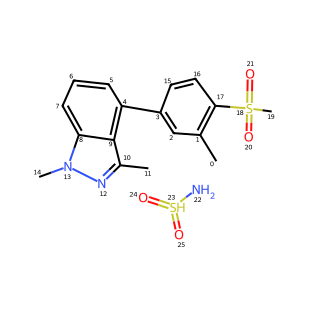 Cc1cc(-c2cccc3c2c(C)nn3C)ccc1S(C)(=O)=O.N[SH](=O)=O